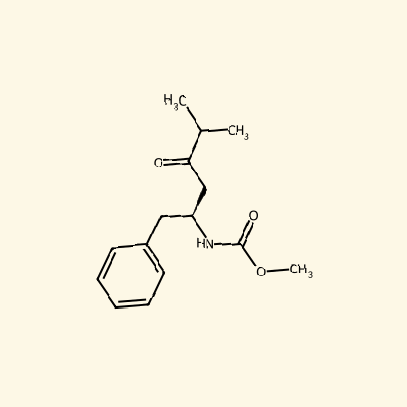 COC(=O)N[C@H](CC(=O)C(C)C)Cc1ccccc1